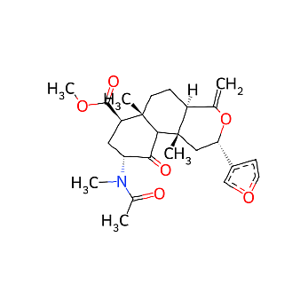 C=C1O[C@H](c2ccoc2)C[C@]2(C)C3C(=O)[C@H](N(C)C(C)=O)C[C@@H](C(=O)OC)[C@]3(C)CC[C@@H]12